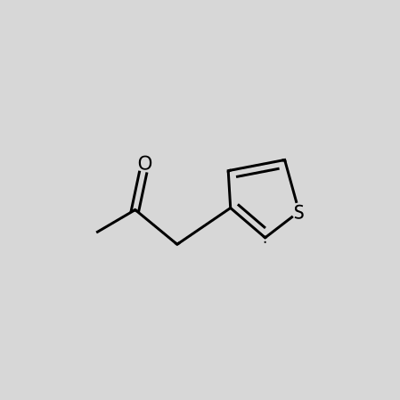 CC(=O)Cc1[c]scc1